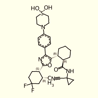 C[C@@H]1CC(F)(F)CC[C@@H]1c1nc(-c2ccc(N3CCS(O)(O)CC3)cc2)c([C@@H]2CCCC[C@H]2C(=O)NC2(C#N)CC2)o1